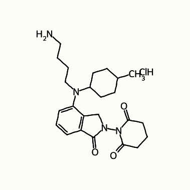 CC1CCC(N(CCCCN)c2cccc3c2CN(N2C(=O)CCCC2=O)C3=O)CC1.Cl